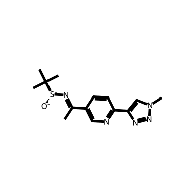 C/C(=N\[S@+]([O-])C(C)(C)C)c1ccc(-c2cn(C)nn2)nc1